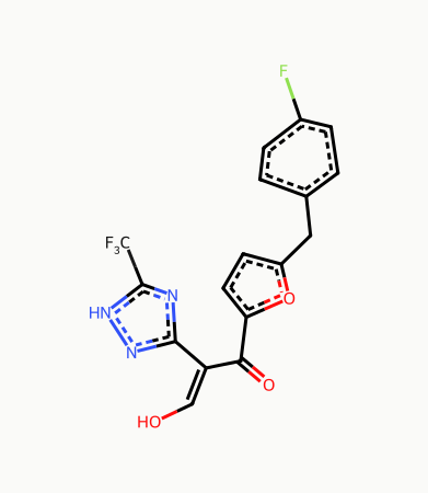 O=C(C(=CO)c1n[nH]c(C(F)(F)F)n1)c1ccc(Cc2ccc(F)cc2)o1